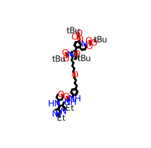 CCc1nc2c(cnn2CC)c(NC2CCOCC2)c1CNC(=O)Nc1ccc(CCCCOCCCCCCN(C[C@H](O[Si](C)(C)C(C)(C)C)c2ccc(OC(=O)OC(C)(C)C)c3nc(OC(=O)OC(C)(C)C)ccc23)C(=O)OC(C)(C)C)cc1